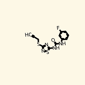 C#CCSc1nsc(NC(=O)Nc2cccc(F)c2)n1